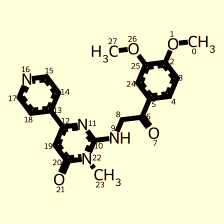 COc1ccc(C(=O)CNc2nc(-c3ccncc3)cc(=O)n2C)cc1OC